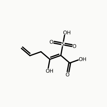 C=CC/C(O)=C(/C(=O)O)S(=O)(=O)O